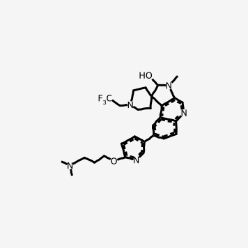 CN(C)CCCOc1ccc(-c2ccc3ncc4c(c3c2)C2(CCN(CC(F)(F)F)CC2)C(O)N4C)cn1